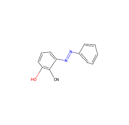 N#Cc1c(O)cccc1N=Nc1ccccc1